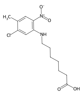 Cc1cc([N+](=O)[O-])c(NCCCCCCC(=O)O)cc1Cl